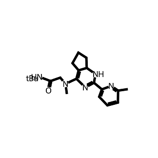 Cc1cccc(C2=NC(N(C)CC(=O)NC(C)(C)C)=C3CCCC3N2)n1